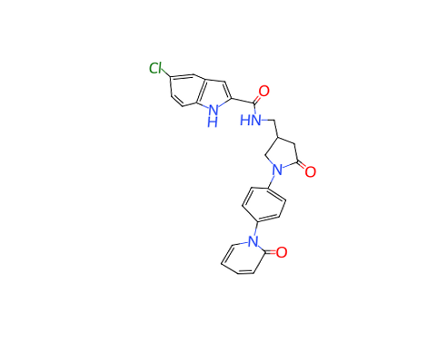 O=C(NCC1CC(=O)N(c2ccc(-n3ccccc3=O)cc2)C1)c1cc2cc(Cl)ccc2[nH]1